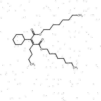 CCCCCCCCOC(=O)/C(CCCC)=C(\C(=O)OCCCCCCCC)C1CCCCC1